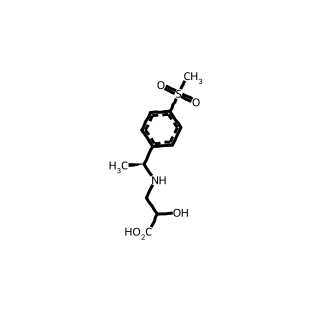 C[C@H](NCC(O)C(=O)O)c1ccc(S(C)(=O)=O)cc1